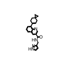 O=C(NCc1cc[nH]n1)c1cnc2c(C3=CCC4(CC3)CC4)cccc2c1